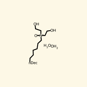 CCCCCCCCCCCCCCCC[N+]([O-])(CCO)CCO.O.O